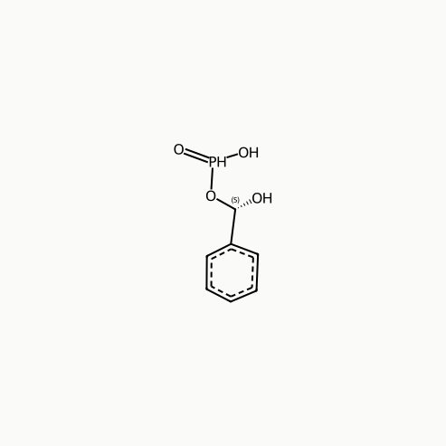 O=[PH](O)O[C@H](O)c1ccccc1